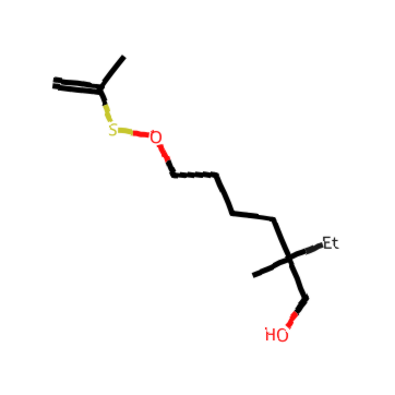 C=C(C)SOCCCCC(C)(CC)CO